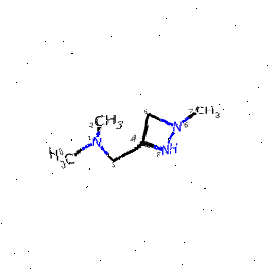 CN(C)CC1CN(C)N1